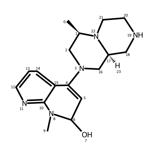 C[C@@H]1CN(C2=CC(O)N(C)c3ncccc32)C[C@@H]2CNCCN21